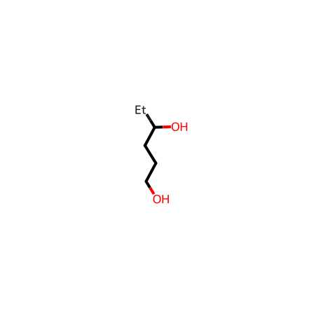 [CH2]CC(O)CCCO